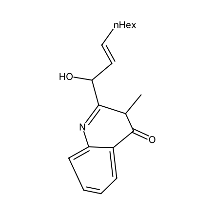 CCCCCCC=CC(O)C1=Nc2ccccc2C(=O)C1C